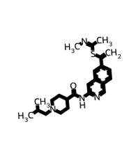 C=C(S/C(C)=N\C)c1ccc2cnc(NC(=O)C3CCN(CC(C)C)CC3)cc2c1